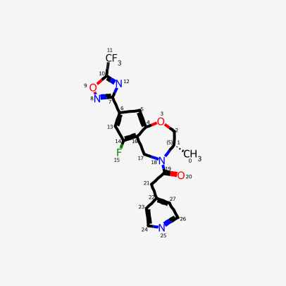 C[C@H]1COc2cc(-c3noc(C(F)(F)F)n3)cc(F)c2CN1C(=O)Cc1ccncc1